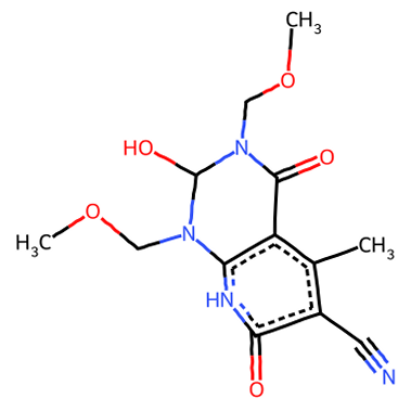 COCN1C(=O)c2c([nH]c(=O)c(C#N)c2C)N(COC)C1O